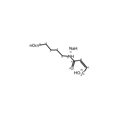 CCCCCCCCCCCCNC(=O)/C=C\C(=O)O.[NaH]